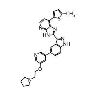 Cc1ccc(-c2ccnc3[nH]c(-c4n[nH]c5ccc(-c6cncc(OCCN7CCCC7)c6)cc45)nc23)s1